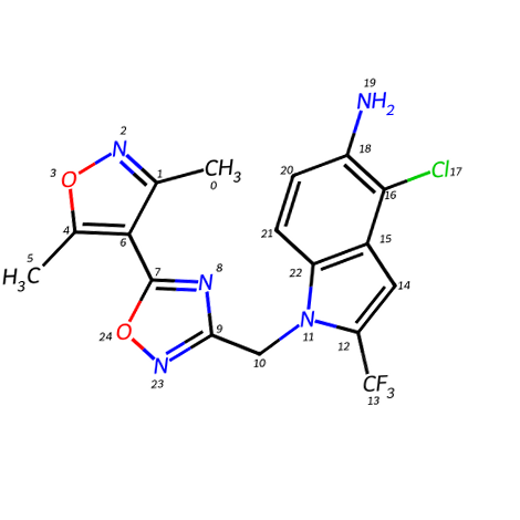 Cc1noc(C)c1-c1nc(Cn2c(C(F)(F)F)cc3c(Cl)c(N)ccc32)no1